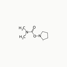 CN(C)C(=O)ON1[CH]CCC1